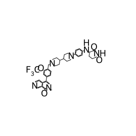 Cn1cc(-c2ccc(CN3CCC(C4CCN(c5ccc(NC6CCC(=O)NC6=O)cc5)CC4)CC3)c(OC(F)(F)F)c2)c2ccncc2c1=O